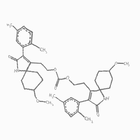 COC1CCC2(CC1)NC(=O)C(c1cc(C)ccc1C)=C2CCOC(=O)OCCC1=C(c2cc(C)ccc2C)C(=O)NC12CCC(OC)CC2